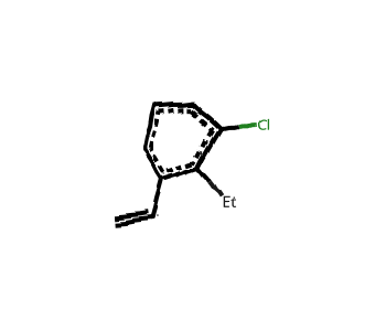 C=[C]c1cccc(Cl)c1CC